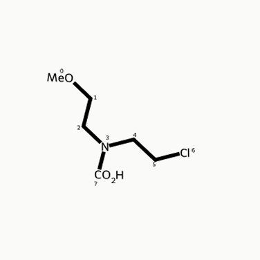 COCCN(CCCl)C(=O)O